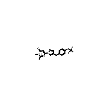 CN/C(C)=N\C(=C/C=O)n1cc(Cc2ccc(OC(F)(F)F)cc2)cn1